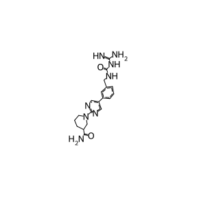 N=C(N)NC(=O)NCc1cccc(-c2cnc(N3CCCC(C(N)=O)C3)nc2)c1